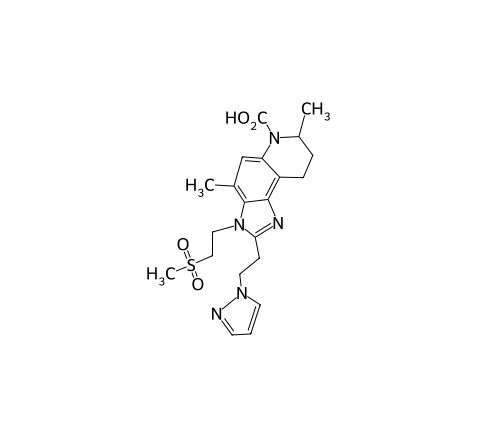 Cc1cc2c(c3nc(CCn4cccn4)n(CCS(C)(=O)=O)c13)CCC(C)N2C(=O)O